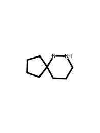 C1CCC2(C1)CCCN[N]2